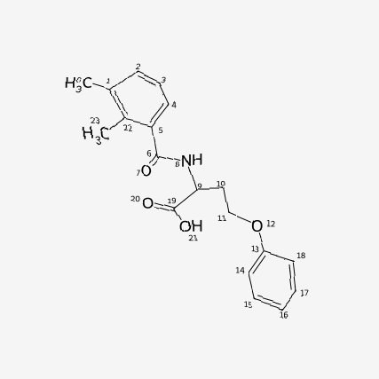 Cc1cccc(C(=O)NC(CCOc2ccccc2)C(=O)O)c1C